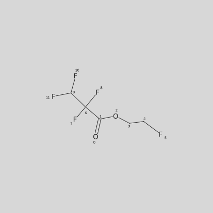 O=C(OCCF)C(F)(F)C(F)F